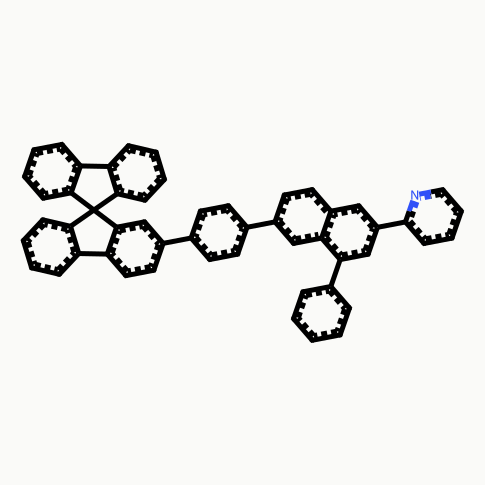 c1ccc(-c2cc(-c3ccccn3)cc3ccc(-c4ccc(-c5ccc6c(c5)C5(c7ccccc7-c7ccccc75)c5ccccc5-6)cc4)cc23)cc1